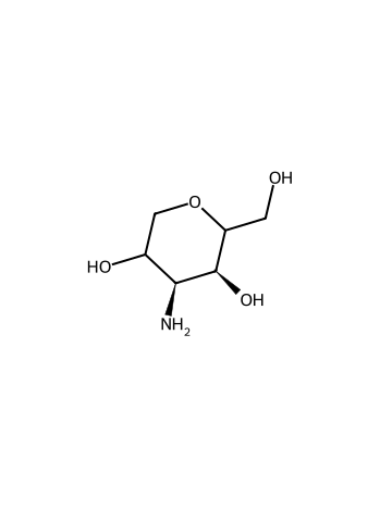 N[C@H]1C(O)COC(CO)[C@H]1O